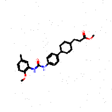 COC(=O)CCC1CCC(c2ccc(NC(=O)Nc3cc(C)ccc3OC)cc2)CC1